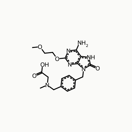 COCCOc1nc(N)c2[nH]c(=O)n(Cc3ccc(CN(C)CC(=O)O)cc3)c2n1